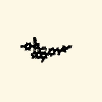 CN(c1nc(-c2ccc(F)cc2)c(C#N)s1)c1c2c(nc3c(F)cc(N4CCN(CC(=O)N5CC(O)C5)CC4)cc13)COC2